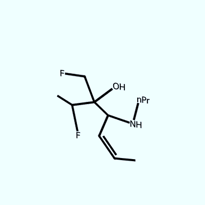 C/C=C\C(NCCC)C(O)(CF)C(C)F